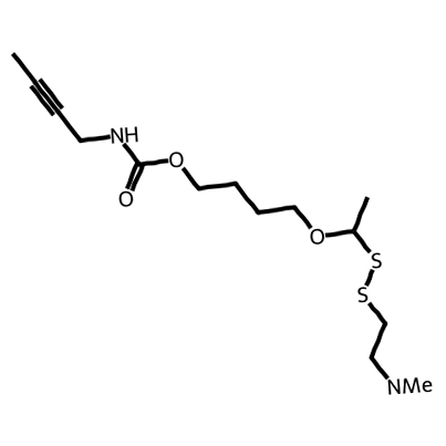 CC#CCNC(=O)OCCCCOC(C)SSCCNC